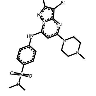 Cc1nn2c(Nc3ccc(S(=O)(=O)N(C)C)cc3)cc(N3CCN(C)CC3)nc2c1Br